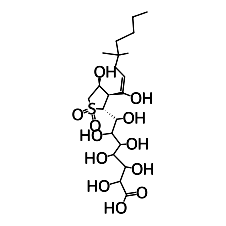 CCCCC(C)(C)C/C=C(/O)[C@@H]1[C@H](O)CS(=O)(=O)[C@H]1C(O)C(O)C(O)C(O)C(O)C(O)C(=O)O